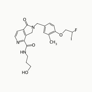 Cc1cc(CN2Cc3c(ccnc3C(=O)NCCCO)C2=O)ccc1OCC(F)I